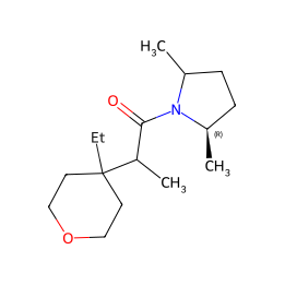 CCC1(C(C)C(=O)N2C(C)CC[C@H]2C)CCOCC1